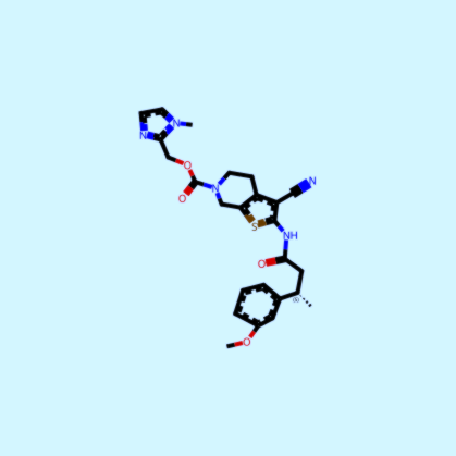 COc1cccc([C@@H](C)CC(=O)Nc2sc3c(c2C#N)CCN(C(=O)OCc2nccn2C)C3)c1